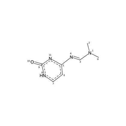 CN(C)C=Nc1cc[nH]c(=O)n1